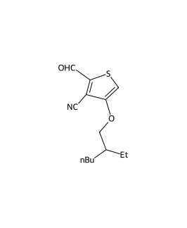 CCCCC(CC)COc1csc(C=O)c1C#N